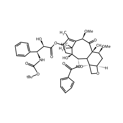 CO[C@H]1C(=O)[C@@]2(C)C([C@H](OC(=O)c3ccccc3)[C@]3(O)CC(OC(=O)[C@H](O)[C@@H](NC(=O)OC(C)(C)C)c4ccccc4)C(C)=C1C3(C)C)[C@]1(OC(C)=O)CO[C@@H]1C[C@@H]2OC